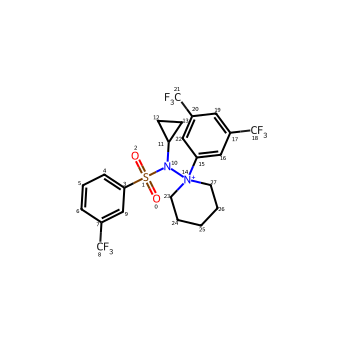 O=S(=O)(c1cccc(C(F)(F)F)c1)N(C1CC1)[N+]1(c2cc(C(F)(F)F)cc(C(F)(F)F)c2)CCCCC1